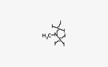 CN(S(I)(I)I)S(I)(I)I